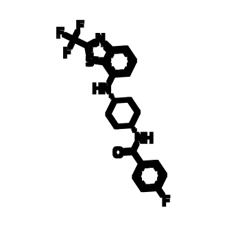 O=C(N[C@H]1CC[C@@H](Nc2cccc3nc(C(F)(F)F)sc23)CC1)c1ccc(F)cc1